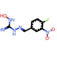 N=C(NO)NN=Cc1ccc(F)c([N+](=O)[O-])c1